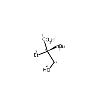 CCCC[C@](CC)(CO)C(=O)O